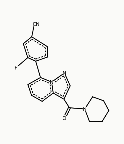 N#Cc1ccc(-c2cccc3c(C(=O)N4CCCCC4)cnn23)c(F)c1